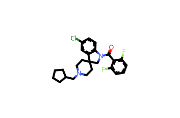 O=C(c1c(F)cccc1F)N1CC2(CCN(CC3CCCC3)CC2)c2cc(Cl)ccc21